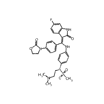 CN(C)CCN(c1ccc(N/C(=C2\C(=O)Nc3cc(F)ccc32)c2ccc(N3CCOC3=O)cc2)cc1)S(C)(=O)=O